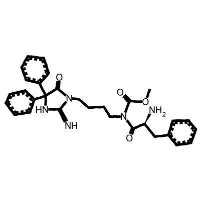 COC(=O)N(CCCCN1C(=N)NC(c2ccccc2)(c2ccccc2)C1=O)C(=O)[C@@H](N)Cc1ccccc1